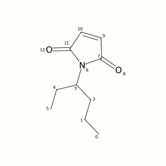 CCCC(CC)N1C(=O)C=CC1=O